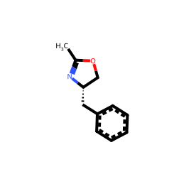 CC1=N[C@@H](Cc2ccccc2)CO1